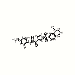 Cc1cc(N)nc(C)c1CNC(=O)c1ccn(S(=O)(=O)c2ccc3c(c2)N(C)CCO3)c1